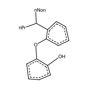 CCCCCCCCCC(CCC)c1ccccc1Oc1ccccc1O